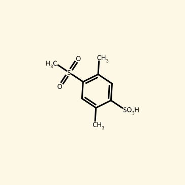 Cc1cc(S(=O)(=O)O)c(C)cc1S(C)(=O)=O